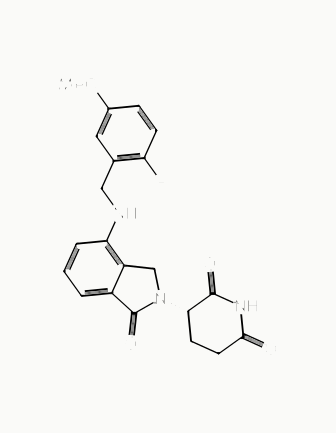 COc1ccc(F)c(CNc2cccc3c2CN([C@H]2CCC(=O)NC2=O)C3=O)c1